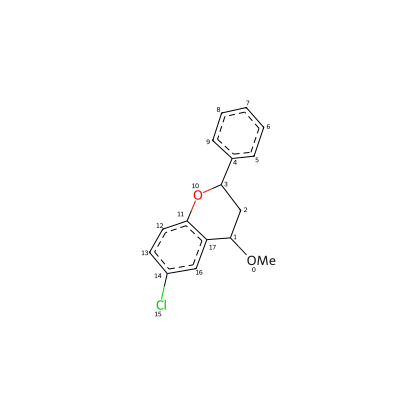 COC1CC(c2ccccc2)Oc2ccc(Cl)cc21